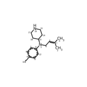 CC(C)=CCN(c1ccc(I)cc1)C1CCNCC1